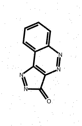 O=C1N=Nc2c1nnc1ccccc21